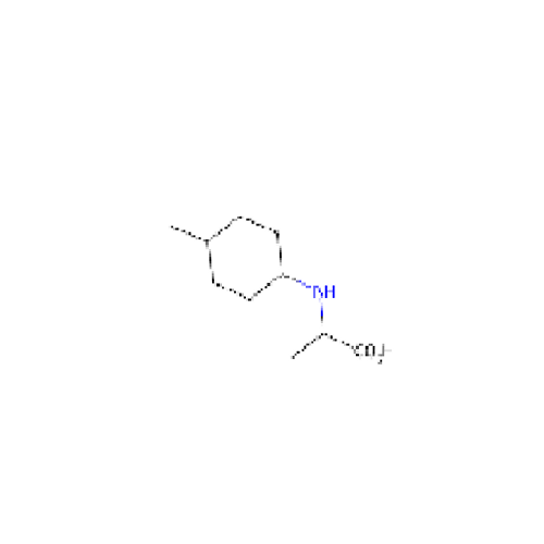 CC1CCC(NC(C)C(=O)O)CC1